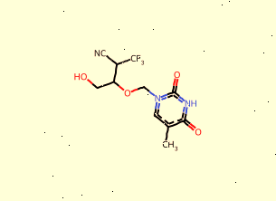 Cc1cn(COC(CO)C(C#N)C(F)(F)F)c(=O)[nH]c1=O